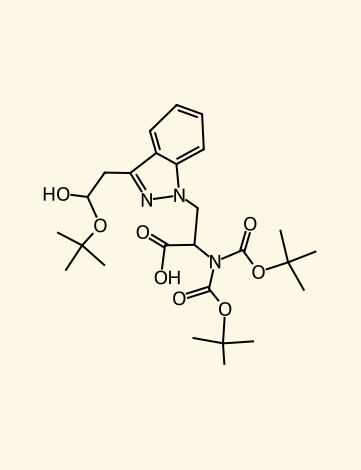 CC(C)(C)OC(=O)N(C(=O)OC(C)(C)C)C(Cn1nc(CC(O)OC(C)(C)C)c2ccccc21)C(=O)O